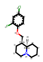 Fc1cc(Cl)ccc1OC[C@@H]1CCCN2CCCC[C@H]12